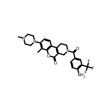 Cc1c(N2CCN(C)CC2)ccc2c3c(c(=O)oc12)CN(C(=O)c1ccc(N)c(C(F)(F)F)c1)CC3